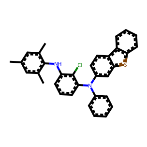 Cc1cc(C)c(Nc2cccc(N(c3ccccc3)c3ccc4c(c3)sc3ccccc34)c2Cl)c(C)c1